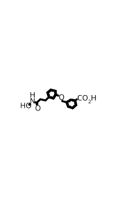 O=C(CCc1cccc(OCc2cccc(C(=O)O)c2)c1)NO